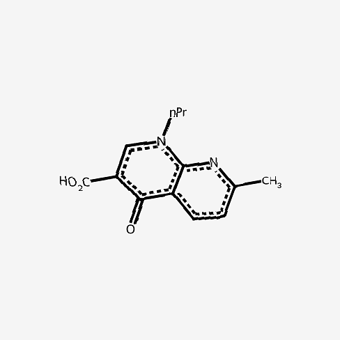 CCCn1cc(C(=O)O)c(=O)c2ccc(C)nc21